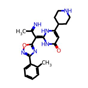 CC(=N)/C(=C1/NC(=O)C=C(C2CCNCC2)N1)c1nc(-c2ccccc2C)no1